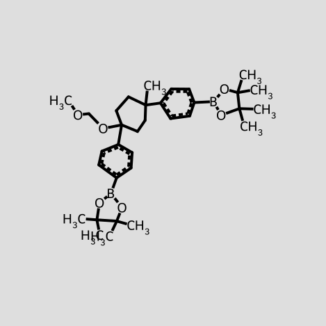 COCOC1(c2ccc(B3OC(C)(C)C(C)(C)O3)cc2)CCC(C)(c2ccc(B3OC(C)(C)C(C)(C)O3)cc2)CC1